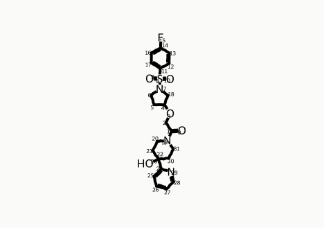 O=C(COC1CCN(S(=O)(=O)c2ccc(F)cc2)C1)N1CCC(O)(c2ccccn2)CC1